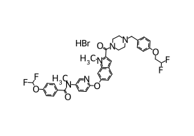 Br.CN(C(=O)c1ccc(OC(F)F)cc1)c1ccc(Oc2ccc3cc(C(=O)N4CCN(Cc5ccc(OCC(F)F)cc5)CC4)n(C)c3c2)nc1